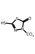 O=c1sc(S)nn1C(Cl)(Cl)Cl